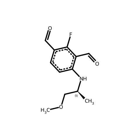 COC[C@H](C)Nc1ccc(C=O)c(F)c1C=O